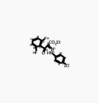 CCOC(=O)/C(=N/Nc1ccc(Cl)cc1)C(=O)c1c(F)cccc1F